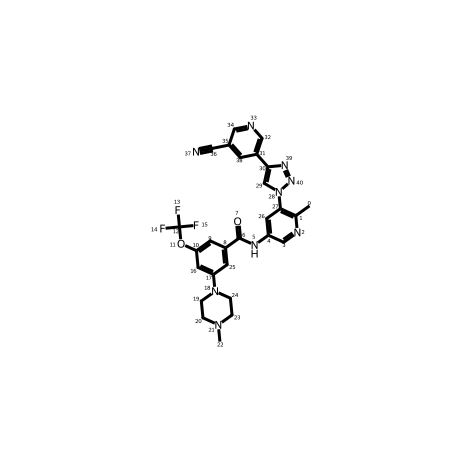 Cc1ncc(NC(=O)c2cc(OC(F)(F)F)cc(N3CCN(C)CC3)c2)cc1-n1cc(-c2cncc(C#N)c2)nn1